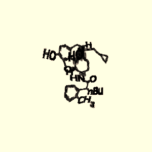 CCCCC(C(=O)N[C@H]1CC[C@@]2(O)[C@H]3Cc4ccc(O)c5c4[C@@]2(CCN3CC2CC2)[C@H]1O5)c1ccccc1C